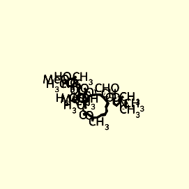 CO[C@H]1C[C@H](O[C@@H]2OC(C)[C@@H](O[C@H]3CC(C)(OC)[C@@H](O)C(C)O3)C(N(C)C)C2O)[C@@H](CC=O)C[C@H](C)[C@@H](O[C@H]2CC[C@H](N(C)C)C(C)O2)/C=C/C/C=C/CC(C)OC(=O)CC1C